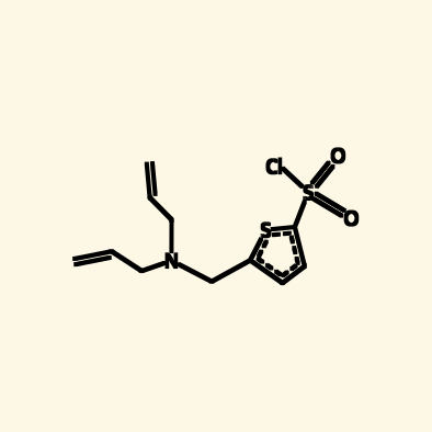 C=CCN(CC=C)Cc1ccc(S(=O)(=O)Cl)s1